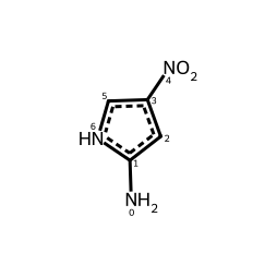 Nc1cc([N+](=O)[O-])c[nH]1